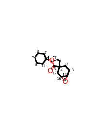 CCC1(C(=O)OC2CCCCC2)CCC2OC2C1